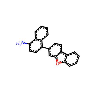 Nc1ccc(-c2ccc3c(c2)oc2ccccc23)c2ccccc12